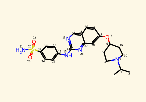 CC(C)N1CCC(Oc2ccc3cnc(Nc4ccc(S(N)(=O)=O)cc4)nc3c2)CC1